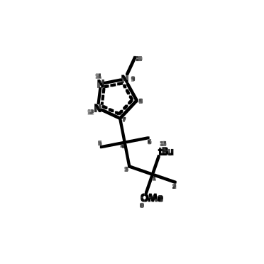 COC(C)(CC(C)(C)c1cn(C)nn1)C(C)(C)C